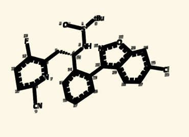 CC(C)(C)[S+]([O-])N[C@@H](Cc1nc(C#N)ccc1F)c1ccccc1-c1noc2cc(Cl)ccc12